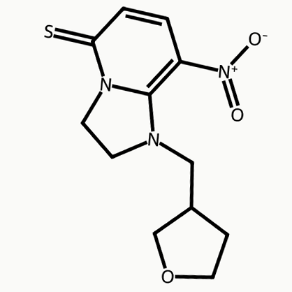 O=[N+]([O-])c1ccc(=S)n2c1N(CC1CCOC1)CC2